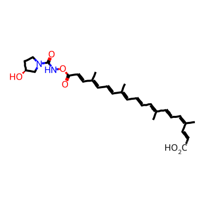 CC(=C/C=C/C(C)=C/C=C/C=C(C)/C=C/C=C(C)/C=C/C(=O)ONC(=O)N1CC[C@H](O)C1)/C=C/C(=O)O